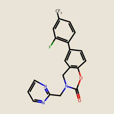 O=C1Oc2ccc(-c3ccc(C(F)(F)F)cc3F)cc2CN1Cc1ncccn1